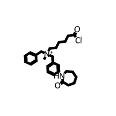 C[N+](CCCCCC(=O)Cl)(Cc1ccccc1)Cc1ccccc1.O=C1CCCCCN1